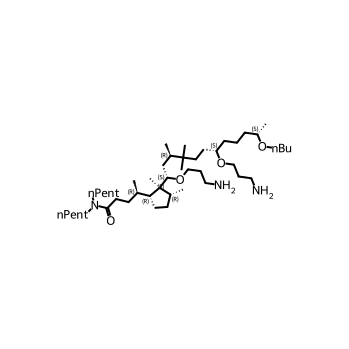 CCCCCN(CCCCC)C(=O)CC[C@@H](C)[C@H]1CC[C@@H](C)[C@]1(C)[C@H](C[C@@H](C)C(C)(C)CC[C@H](CCC[C@H](C)OCCCC)OCCCN)OCCCN